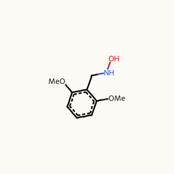 COc1cccc(OC)c1CNO